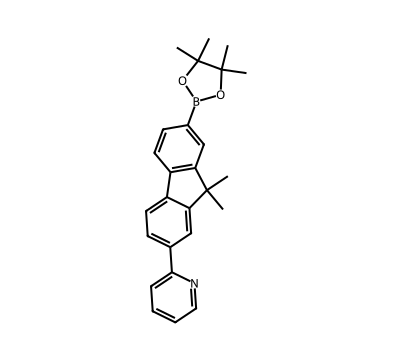 CC1(C)c2cc(B3OC(C)(C)C(C)(C)O3)ccc2-c2ccc(-c3ccccn3)cc21